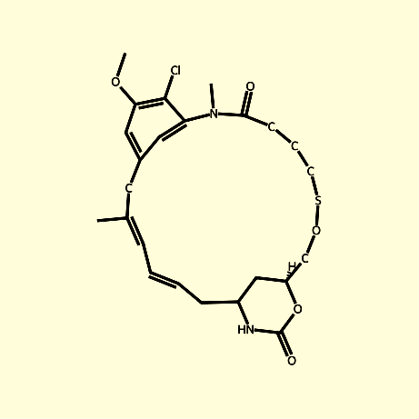 COc1cc2cc(c1Cl)N(C)C(=O)CCCSOC[C@@H]1CC(C/C=C/C=C(\C)C2)NC(=O)O1